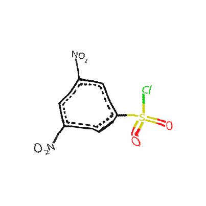 O=[N+]([O-])c1cc([N+](=O)[O-])cc(S(=O)(=O)Cl)c1